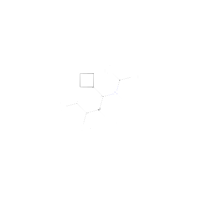 C=C(C(C)CC)C(C1CCC1)N(C)C(C)C